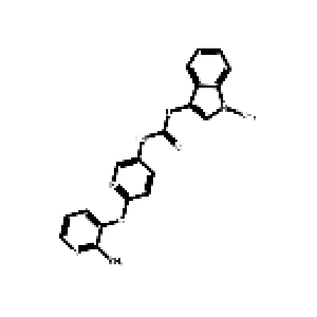 Cc1ncccc1Oc1ccc(NC(=O)Oc2cn(C)c3ccccc23)cn1